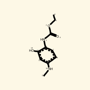 CCOC(=O)Nc1ccc(NC)cc1O